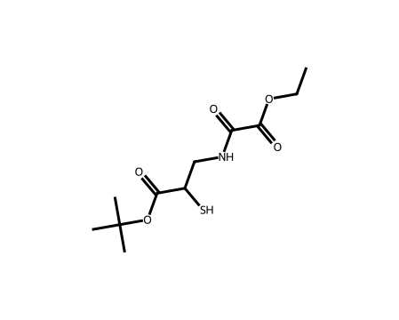 CCOC(=O)C(=O)NCC(S)C(=O)OC(C)(C)C